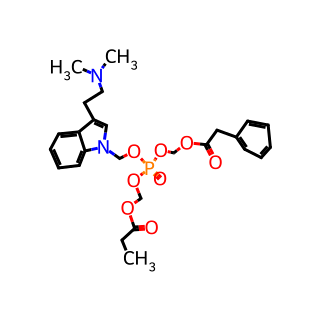 CCC(=O)OCOP(=O)(OCOC(=O)Cc1ccccc1)OCn1cc(CCN(C)C)c2ccccc21